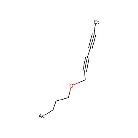 CCC#CC#CCOCCCC(C)=O